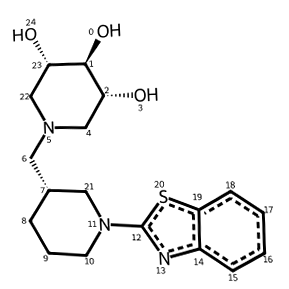 O[C@H]1[C@H](O)CN(C[C@H]2CCCN(c3nc4ccccc4s3)C2)C[C@@H]1O